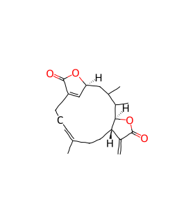 C=C1C(=O)O[C@@H]2C(C)C(C)C[C@H]3C=C(CC/C=C(\C)CC[C@@H]12)C(=O)O3